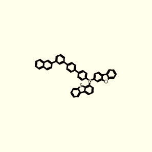 c1cc(-c2ccc(-c3ccc(N(c4ccc5c(c4)oc4ccccc45)c4cccc5c4sc4ccccc45)cc3)cc2)cc(-c2ccc3ccccc3c2)c1